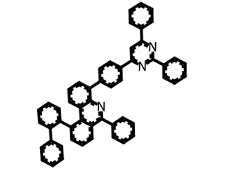 c1ccc(-c2cc(-c3ccc(-c4cccc5c4nc(-c4ccccc4)c4cccc(-c6ccccc6-c6ccccc6)c45)cc3)nc(-c3ccccc3)n2)cc1